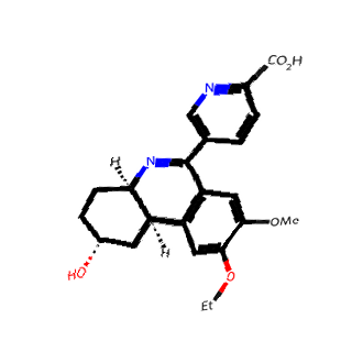 CCOc1cc2c(cc1OC)C(c1ccc(C(=O)O)nc1)=N[C@@H]1CC[C@@H](O)C[C@H]21